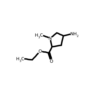 CCOC(=O)C1CC(N)CN1C